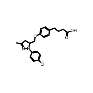 CC1=NN(c2ccc(Cl)cc2)C(COc2ccc(CCCC(=O)O)cc2)C1